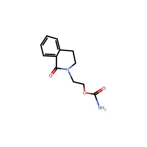 NC(=O)OCCN1CCc2ccccc2C1=O